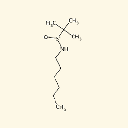 CCCCCCN[S+]([O-])C(C)(C)C